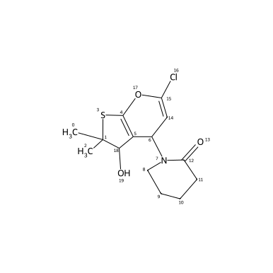 CC1(C)SC2=C(C(N3CCCCC3=O)C=C(Cl)O2)C1O